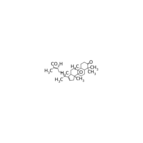 CC(=CCC[C@@H](C)C1=CC[C@@]2(C)C34CCC5C(C)(C)C(=O)CC[C@]5(C)C3(CC[C@]12C)O4)C(=O)O